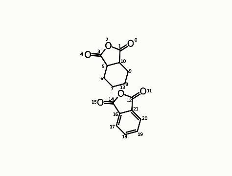 O=C1OC(=O)C2CCCCC12.O=C1OC(=O)c2ccccc21